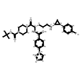 CC(C)(C)OC(=O)N1CCN(C(=O)[C@H](CCCN[C@@H]2C[C@H]2c2ccc(F)cc2)NC(=O)c2ccc(-n3ccnn3)cc2)CC1